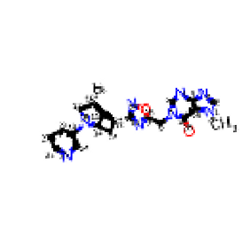 Cn1cnc2ncn(Cc3nc([C@]45CC6C4[C@H]5CN6c4cccnc4)no3)c(=O)c21